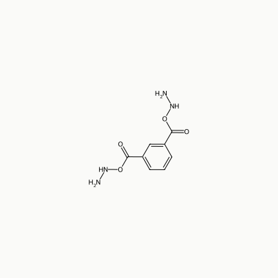 NNOC(=O)c1cccc(C(=O)ONN)c1